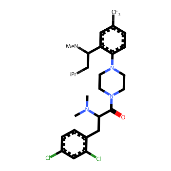 CNC(CC(C)C)c1cc(C(F)(F)F)ccc1N1CCN(C(=O)C(Cc2ccc(Cl)cc2Cl)N(C)C)CC1